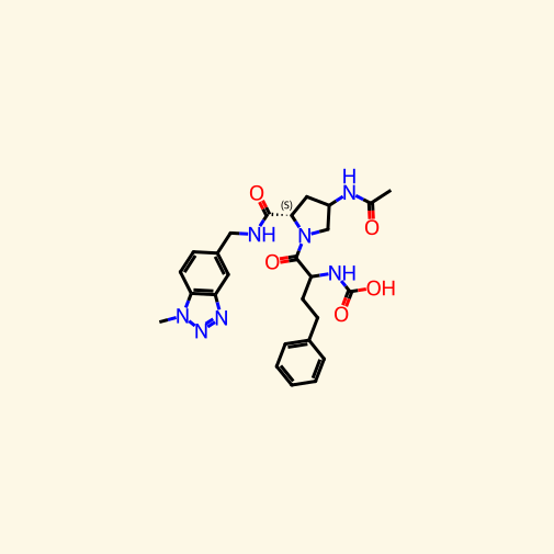 CC(=O)NC1C[C@@H](C(=O)NCc2ccc3c(c2)nnn3C)N(C(=O)C(CCc2ccccc2)NC(=O)O)C1